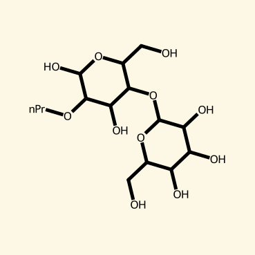 CCCOC1C(O)OC(CO)C(OC2OC(CO)C(O)C(O)C2O)C1O